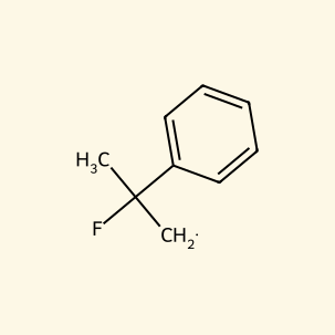 [CH2]C(C)(F)c1ccccc1